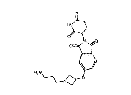 NCCCN1CC(Oc2ccc3c(c2)C(=O)N(C2CCC(=O)NC2=O)C3=O)C1